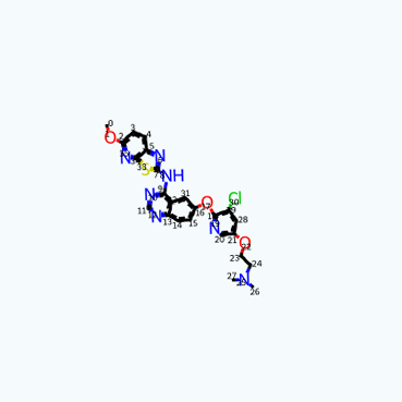 COc1ccc2nc(Nc3ncnc4ccc(Oc5ncc(OCCN(C)C)cc5Cl)cc34)sc2n1